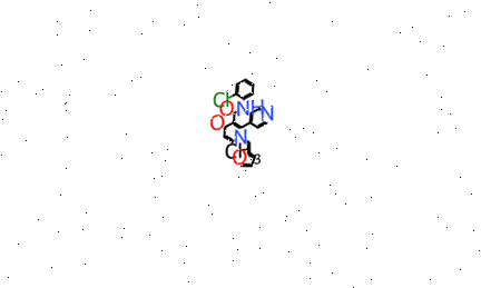 Cc1cc(=O)c(C(=O)Nc2ccccc2Cl)c(-c2ccncc2)n1Cc1ccco1